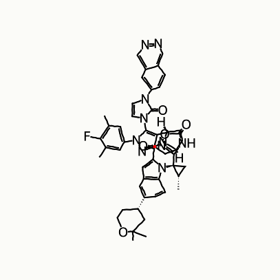 Cc1cc(-n2nc3c(c2-n2ccn(-c4ccc5cnncc5c4)c2=O)[C@@H]2CC[C@H](C3)N2C(=O)c2cc3cc([C@H]4CCOC(C)(C)C4)ccc3n2[C@@]2(c3noc(=O)[nH]3)C[C@@H]2C)cc(C)c1F